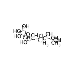 C=C1/C(=C\C=C2/CCC[C@@]3(C)C2CC[C@@H]3C(C)CCCC(C)(C)O)C[C@@H](O)C[C@@H]1OC1CC(CO)C(O)C(O)C1O